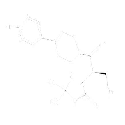 CC(C)C[C@H](C(=O)N1CC=C(c2ccc(Cl)cc2)CC1)[C@H]1OC(C)(C)OC1=O